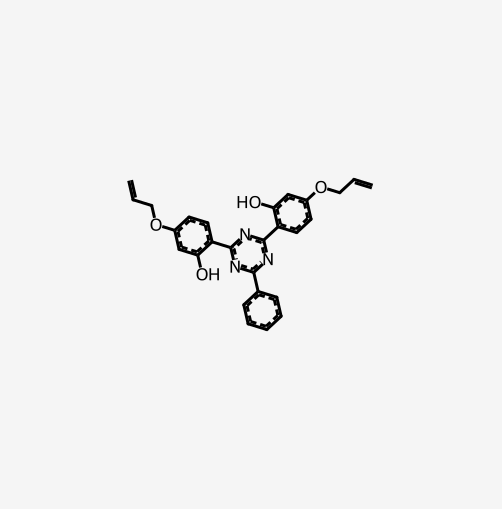 C=CCOc1ccc(-c2nc(-c3ccccc3)nc(-c3ccc(OCC=C)cc3O)n2)c(O)c1